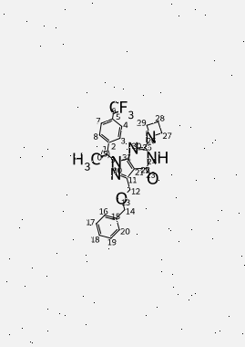 C[C@@H](c1ccc(C(F)(F)F)cc1)n1nc(COCc2ccccc2)c2c(=O)[nH]c(N3CCC3)nc21